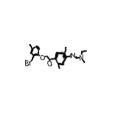 CCN(C)C=Nc1cc(C)c(C(=O)COc2ccc(C)cc2Br)cc1C